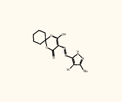 CC(C)(C)c1n[nH]c(/N=N/C2=C(O)OC3(CCCCC3)OC2=O)c1C#N